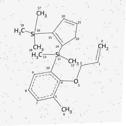 C=CCOc1c(C)cccc1[Si](C)(C)C1=C([Si](C)(C)C)C=CC1